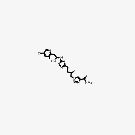 CNC(=O)c1cn(CC(F)CCc2nnc(NC(O)Cc3ncc(Cl)cc3F)s2)nn1